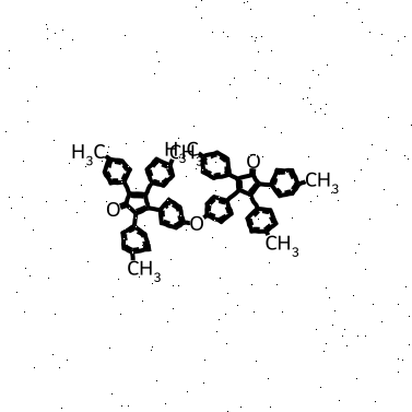 Cc1ccc(C2=C(c3ccc(C)cc3)C(c3ccc(Oc4ccc(C5=C(c6ccc(C)cc6)C(=O)C(c6ccc(C)cc6)=C5c5ccc(C)cc5)cc4)cc3)=C(c3ccc(C)cc3)C2=O)cc1